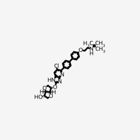 CC(C)(C)NCCOc1ccc(-c2ccc(-c3nc4nc(O[C@H]5CO[C@@H]6[C@H]5OC[C@@H]6O)[nH]c4cc3Cl)cc2)cc1